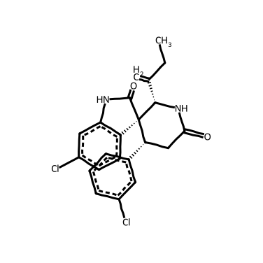 C=C(CC)[C@@H]1NC(=O)C[C@H](c2cccc(Cl)c2)[C@@]12C(=O)Nc1cc(Cl)ccc12